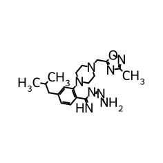 Cc1noc(CN2CCN(c3cc(CC(C)C)ccc3C(=N)/N=N\N)CC2)n1